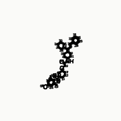 COc1cc(C)c(S(=O)(=O)N2CCCC(OCC(=O)NC3CCC(C(CCc4ccccc4)N4CCCCC4)CC3)C2)c(C)c1